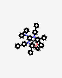 c1ccc(-c2ccc(N3c4cc(-n5c6ccccc6c6ccccc65)cc5c4B(c4c3cc(-c3ccccc3)c3c4oc4ccccc43)c3c(cc(-c4ccccc4)c4c3oc3ccccc34)N5c3ccc(-c4ccccc4)cc3)cc2)cc1